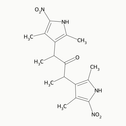 Cc1[nH]c([N+](=O)[O-])c(C)c1C(C)C(=O)C(C)c1c(C)[nH]c([N+](=O)[O-])c1C